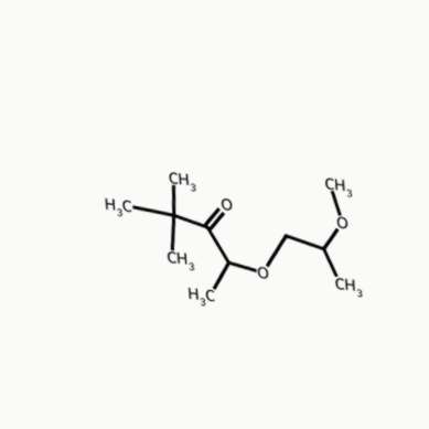 COC(C)COC(C)C(=O)C(C)(C)C